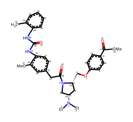 CCN(CC)[C@H]1C[C@@H](COc2ccc(C(=O)OC)cc2)N(C(=O)Cc2ccc(NC(=O)Nc3ccccc3C)c(OC)c2)C1